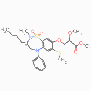 CCCC[C@@H]1CN(c2ccccc2)c2cc(SC)c(OCC(OC)C(=O)OC)cc2S(=O)(=O)N1C